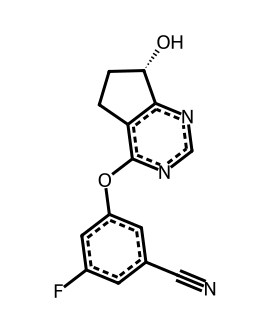 N#Cc1cc(F)cc(Oc2ncnc3c2CC[C@@H]3O)c1